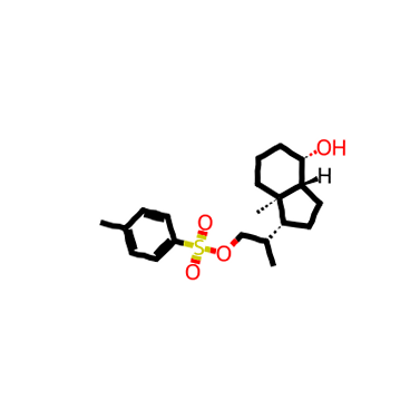 Cc1ccc(S(=O)(=O)OCC(C)[C@H]2CC[C@H]3[C@@H](O)CCC[C@]23C)cc1